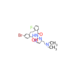 CCN(CC)CCc1ccnc(NC(=O)c2cccc(F)c2CCc2cc(Br)ccc2CO)n1